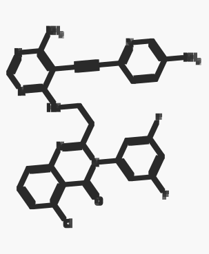 Nc1ccc(C#Cc2c(N)ncnc2NCCc2nc3cccc(Cl)c3c(=O)n2-c2cc(F)cc(F)c2)nc1